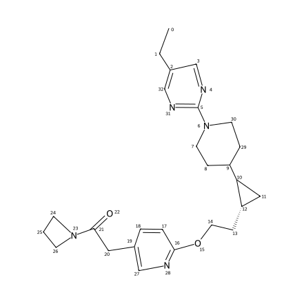 CCc1cnc(N2CCC(C3C[C@@H]3CCOc3ccc(CC(=O)N4CCC4)cn3)CC2)nc1